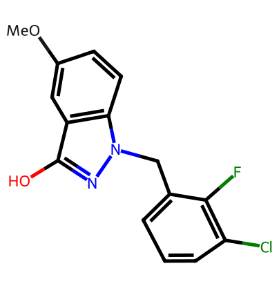 COc1ccc2c(c1)c(O)nn2Cc1cccc(Cl)c1F